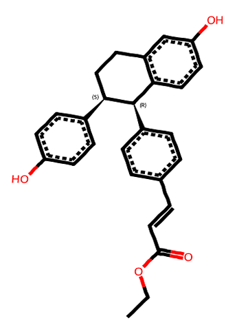 CCOC(=O)C=Cc1ccc([C@@H]2c3ccc(O)cc3CC[C@@H]2c2ccc(O)cc2)cc1